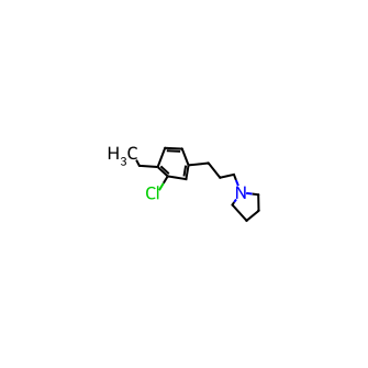 CCc1ccc(CCCN2CCCC2)cc1Cl